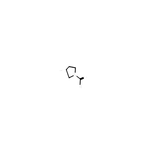 CC(C)(C)C(=O)N1CC[C@@H](F)C1